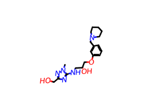 Cn1nc(CO)nc1NCC(O)COc1cccc(CN2CCCCC2)c1